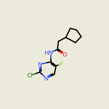 O=C(CC1CCCC1)Nc1nc(Cl)ncc1F